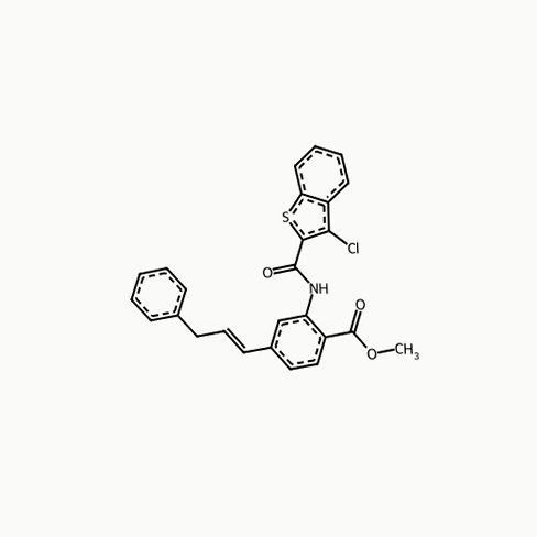 COC(=O)c1ccc(C=CCc2ccccc2)cc1NC(=O)c1sc2ccccc2c1Cl